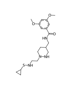 COc1cc(OC)cc(C(=O)NCC2CCN(CCNSC3CC3)NC2)c1